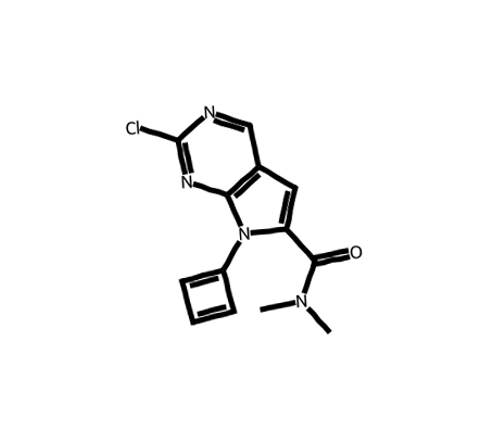 CN(C)C(=O)c1cc2cnc(Cl)nc2n1C1=CC=C1